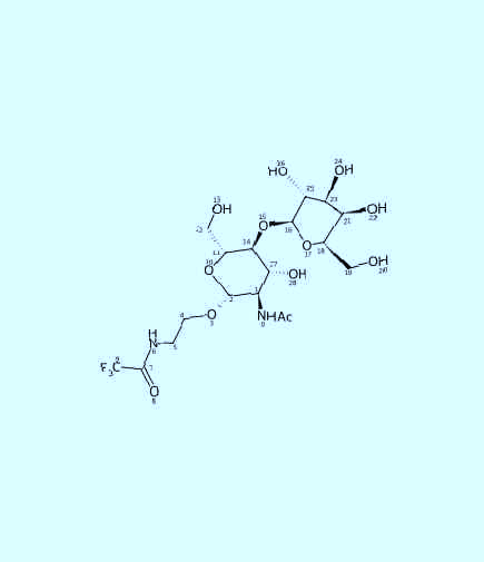 CC(=O)N[C@H]1[C@H](OCCNC(=O)C(F)(F)F)O[C@H](CO)[C@@H](O[C@@H]2O[C@H](CO)[C@H](O)[C@H](O)[C@H]2O)[C@@H]1O